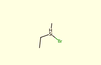 CC[SiH](C)Br